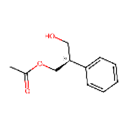 CC(=O)OC[C@@H](CO)c1ccccc1